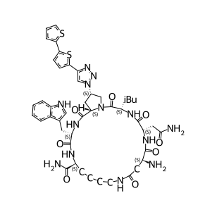 CCC(C)[C@@H]1NC(=O)[C@H](CC(N)=O)NC(=O)[C@@H](N)CC(=O)NCCCC[C@@H](C(N)=O)NC(=O)[C@H](Cc2c[nH]c3ccccc23)NC(=O)[C@@H]2C[C@H](n3cc(-c4ccc(-c5cccs5)s4)nn3)CN2C1=O